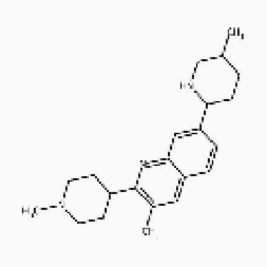 Cc1cc2ccc(C3CCC(C)CN3)cc2nc1C1CCN(C)CC1